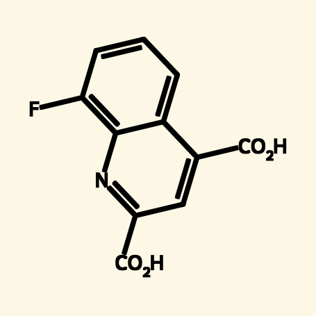 O=C(O)c1cc(C(=O)O)c2cccc(F)c2n1